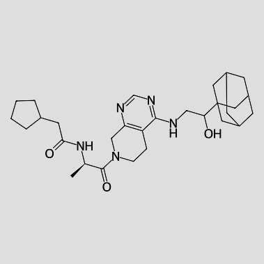 C[C@@H](NC(=O)CC1CCCC1)C(=O)N1CCc2c(ncnc2NCC(O)C23CC4CC(CC(C4)C2)C3)C1